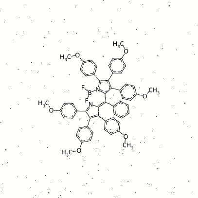 COc1ccc(C2=N/C(=C(/c3ccccc3)c3c(-c4ccc(OC)cc4)c(-c4ccc(OC)cc4)c(-c4ccc(OC)cc4)n3B(F)F)C(c3ccc(OC)cc3)=C2c2ccc(OC)cc2)cc1